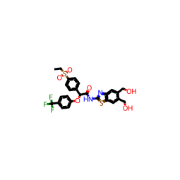 CCS(=O)(=O)c1ccc(C(Oc2ccc(C(F)(F)F)cc2)C(=O)Nc2nc3cc(CO)c(CO)cc3s2)cc1